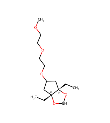 CC[C@@]12CC(OCCOCCOC)C[C@]1(CC)OBO2